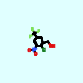 O=[N+]([O-])c1cc(C(F)(F)F)cc(CO)c1Cl